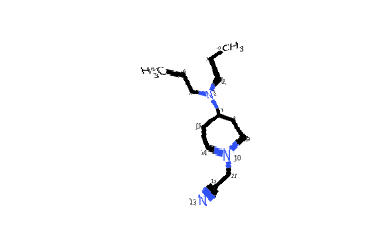 CCCN(CCC)C1CCN(CC#N)CC1